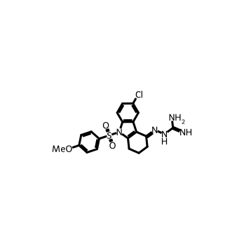 COc1ccc(S(=O)(=O)n2c3c(c4cc(Cl)ccc42)C(=NNC(=N)N)CCC3)cc1